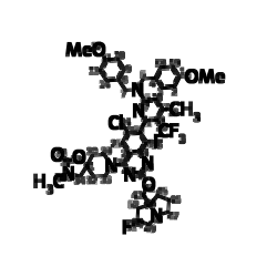 COc1ccc(CN(Cc2ccc(OC)cc2)c2cc(C)c(C(F)(F)F)c(-c3c(Cl)cc4c(N5CCC6(CC5)CN(C)C(=O)O6)nc(OC[C@@]56CCCN5C[C@H](F)C6)nc4c3F)n2)cc1